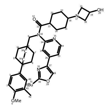 COc1ccc(C23CCC(CN(C(=O)C4CCC(N5CC(O)C5)CC4)c4cc(-c5coc(C(C)(C)C)n5)ccn4)(CC2)CC3)cc1C